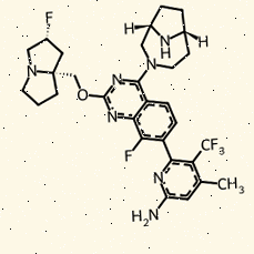 Cc1cc(N)nc(-c2ccc3c(N4CC[C@H]5CC[C@@H](C4)N5)nc(OC[C@]45CCCN4C[C@H](F)C5)nc3c2F)c1C(F)(F)F